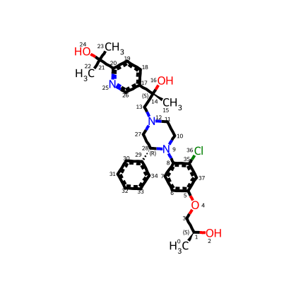 C[C@H](O)COc1ccc(N2CCN(C[C@@](C)(O)c3ccc(C(C)(C)O)nc3)C[C@H]2c2ccccc2)c(Cl)c1